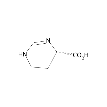 O=C(O)[C@@H]1CCNC=N1